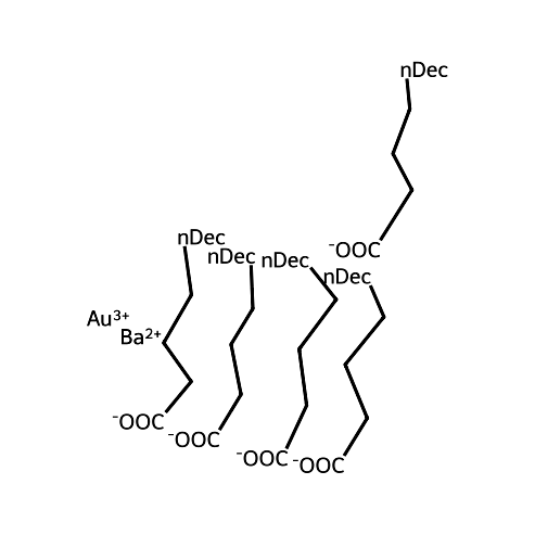 CCCCCCCCCCCCCC(=O)[O-].CCCCCCCCCCCCCC(=O)[O-].CCCCCCCCCCCCCC(=O)[O-].CCCCCCCCCCCCCC(=O)[O-].CCCCCCCCCCCCCC(=O)[O-].[Au+3].[Ba+2]